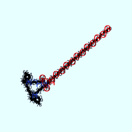 COCCOCCOCCOCCOCCOCCOCCOCCOCCOCCOCCOCCNC(=O)CCCCCN1C(=CC=CC=CC2=[N+](CCCCCC(=O)O)c3ccc(C)cc3C2(C)C)C(C)(C)c2cc(C)ccc21